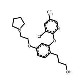 OCCCc1ccc(OCCN2CCCC2)cc1Oc1ncc(C(F)(F)F)cc1Cl